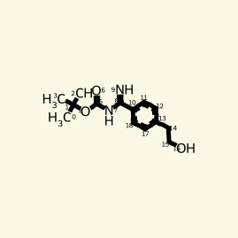 CC(C)(C)OC(=O)NC(=N)c1ccc(CCO)cc1